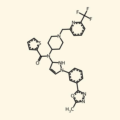 Cc1nnc(-c2cccc(N3C=CC(N(C(=O)c4cccs4)C4CCN(Cc5cccc(C(F)(F)F)n5)CC4)N3)c2)o1